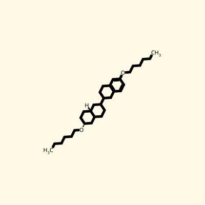 CCCCCCOc1ccc2c(c1)CCC(C1CCC3C[C@H](OCCCCCC)CC[C@@H]3C1)C2